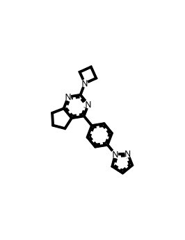 c1cnn(-c2ccc(-c3nc(N4CCC4)nc4c3CCC4)cc2)c1